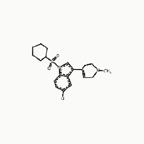 CN1CC=C(c2cn(S(=O)(=O)C3CCCCC3)c3ccc(Cl)cc23)CC1